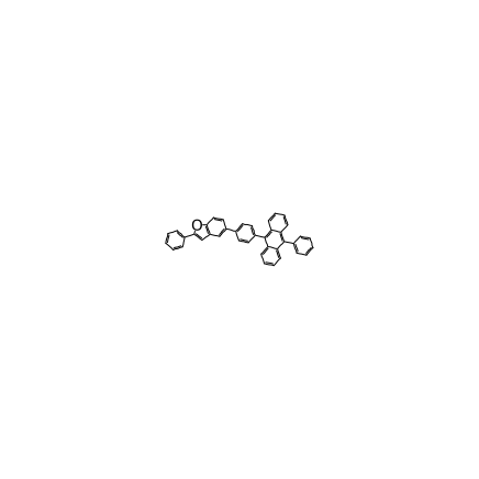 c1ccc(-c2cc3cc(-c4ccc(-c5c6ccccc6c(-c6ccccc6)c6ccccc56)cc4)ccc3o2)cc1